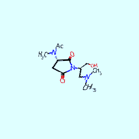 CC(=O)N(C)[C@H]1CC(=O)N([C@@H](CO)CN(C)C)C1=O